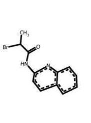 CC(Br)C(=O)Nc1ccc2ccccc2n1